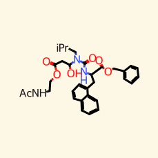 CC(=O)NCCOC(=O)CC(O)N(CC(C)C)C(=O)NC(Cc1cccc2ccccc12)C(=O)OCc1ccccc1